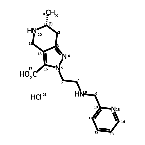 C[C@@H]1Cc2nn(CCNCc3ccccn3)c(C(=O)O)c2CN1.Cl